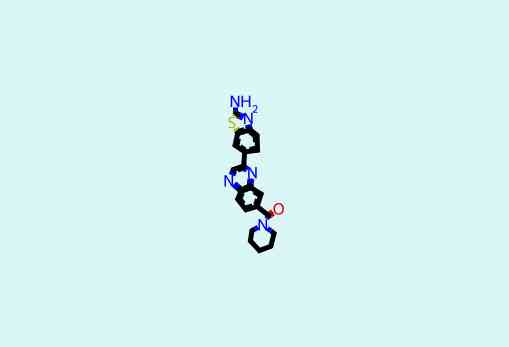 Nc1nc2ccc(-c3cnc4ccc(C(=O)N5CCCCC5)cc4n3)cc2s1